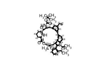 CCn1c(-c2cccnc2C(C)C)c2c3cc(ccc31)-c1cc(CF)cc(c1)C[C@H](NC(=O)OC(C)(C)C)C(=O)N1CCC[C@H](N1)C(=O)OCC(C)(C)C2